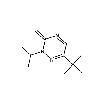 C=C1N=CC(C(C)(C)C)=NN1C(C)C